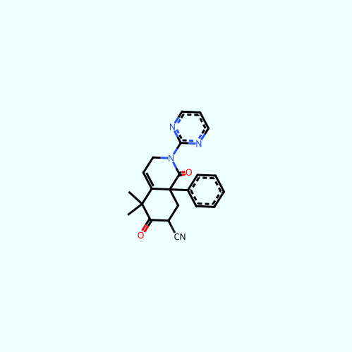 CC1(C)C(=O)C(C#N)CC2(c3ccccc3)C(=O)N(c3ncccn3)CC=C12